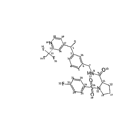 CC(c1cccc(CNC(=O)C2CCCN2S(=O)(=O)c2ccc(F)cc2)c1)c1ccnc(C(F)(F)F)c1